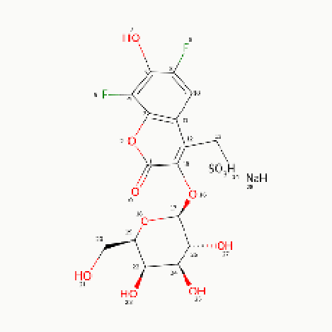 O=c1oc2c(F)c(O)c(F)cc2c(CS(=O)(=O)O)c1O[C@@H]1O[C@H](CO)[C@H](O)[C@H](O)[C@H]1O.[NaH]